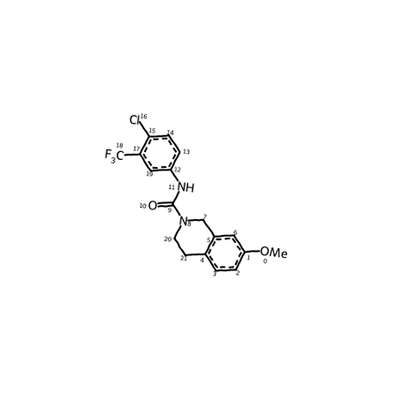 COc1ccc2c(c1)CN(C(=O)Nc1ccc(Cl)c(C(F)(F)F)c1)CC2